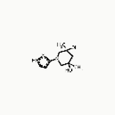 C[C@@]1(O)CN(c2cc[nH]n2)C[C@@](C)(O)C1